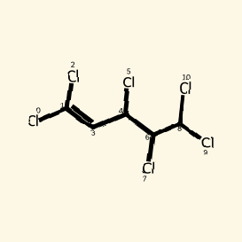 ClC(Cl)=CC(Cl)C(Cl)C(Cl)Cl